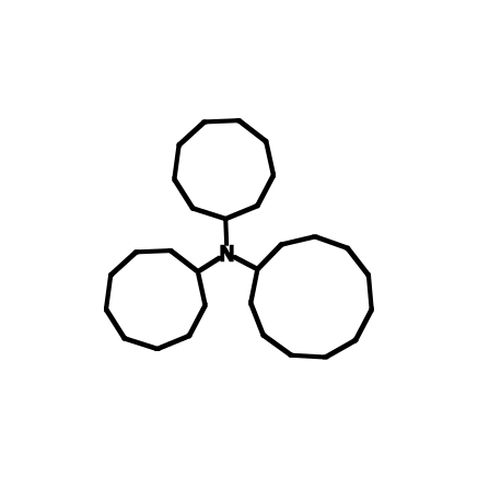 C1CCCCCC(N(C2CCCCCCCC2)C2CCCCCCCC2)CCCC1